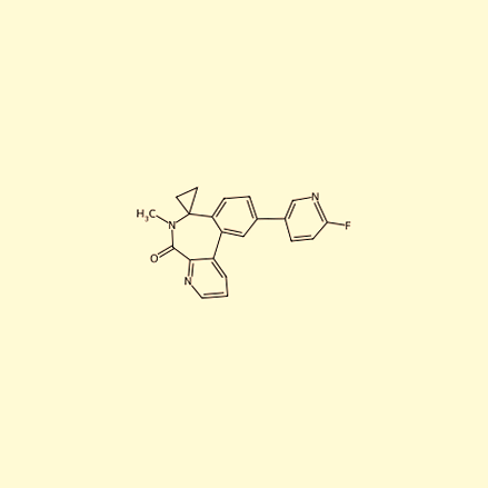 CN1C(=O)c2ncccc2-c2cc(-c3ccc(F)nc3)ccc2C12CC2